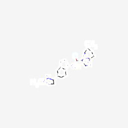 Cc1ccc2ncc(C(=O)N[C@@H]3CCc4cc(-c5ccn(C)n5)ccc43)n2c1